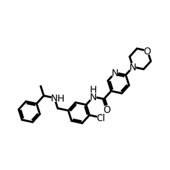 CC(NCc1ccc(Cl)c(NC(=O)c2ccc(N3CCOCC3)nc2)c1)c1ccccc1